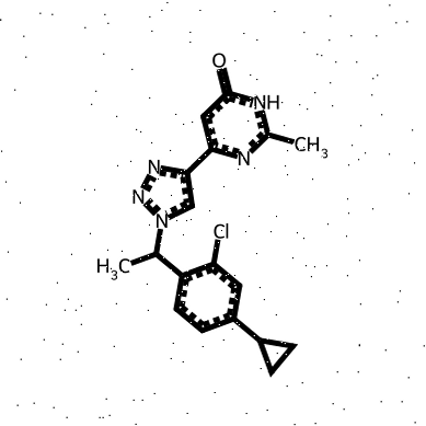 Cc1nc(-c2cn(C(C)c3ccc(C4CC4)cc3Cl)nn2)cc(=O)[nH]1